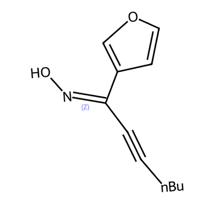 CCCCC#C/C(=N/O)c1ccoc1